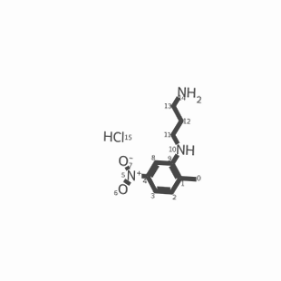 Cc1ccc([N+](=O)[O-])cc1NCCCN.Cl